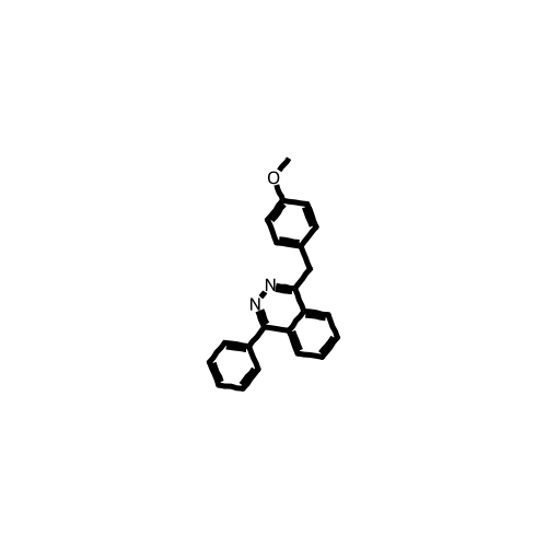 COc1ccc(Cc2nnc(-c3ccccc3)c3ccccc23)cc1